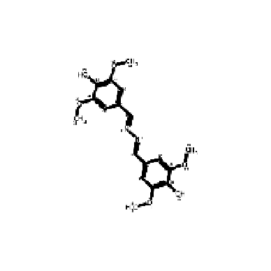 COc1cc(C=NN=Cc2cc(OC)c(O)c(OC)c2)cc(OC)c1O